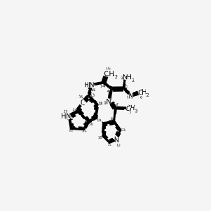 C=N/C(N)=C(\N=C(/C)c1cccnc1)C(=C)Nc1ccc2cc[nH]c2c1